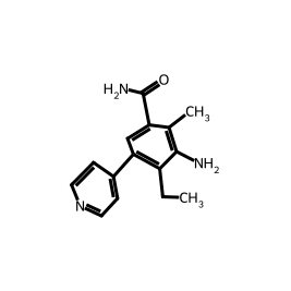 CCc1c(-c2ccncc2)cc(C(N)=O)c(C)c1N